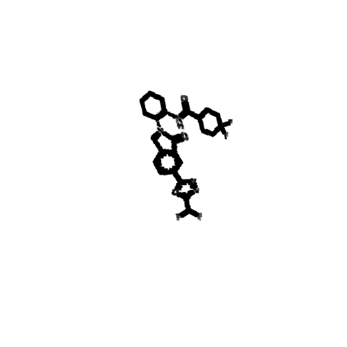 O=C(N[C@@H]1CCCC[C@H]1N1Cc2ccc(-c3nnc(C(F)F)o3)cc2C1=O)C1CCC(F)(F)CC1